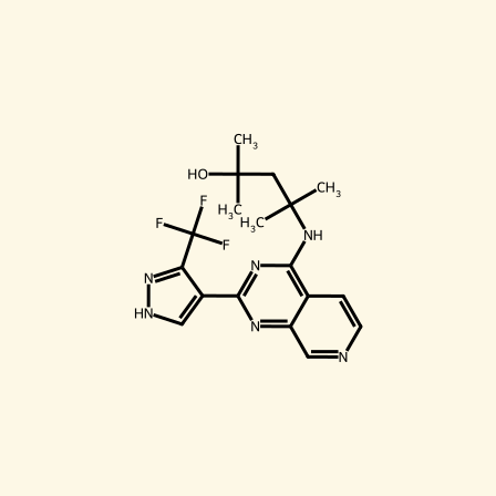 CC(C)(O)CC(C)(C)Nc1nc(-c2c[nH]nc2C(F)(F)F)nc2cnccc12